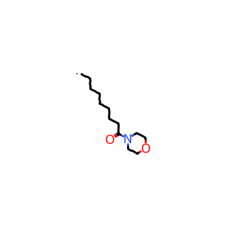 [CH2]CCCCCCCC(=O)N1CCOCC1